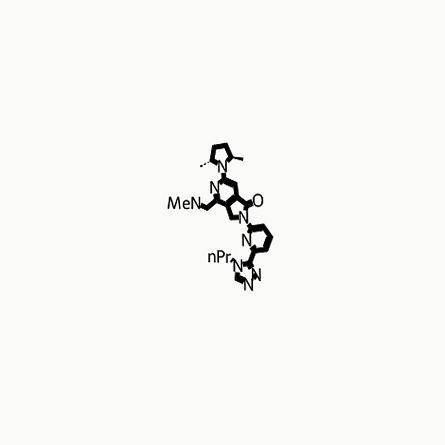 CCCn1cnnc1-c1cccc(N2Cc3c(cc(N4[C@H](C)CC[C@H]4C)nc3CNC)C2=O)n1